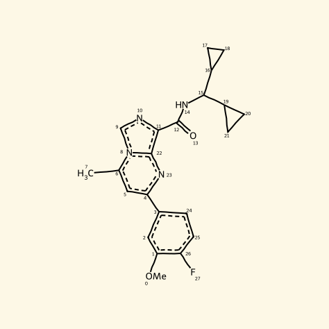 COc1cc(-c2cc(C)n3cnc(C(=O)NC(C4CC4)C4CC4)c3n2)ccc1F